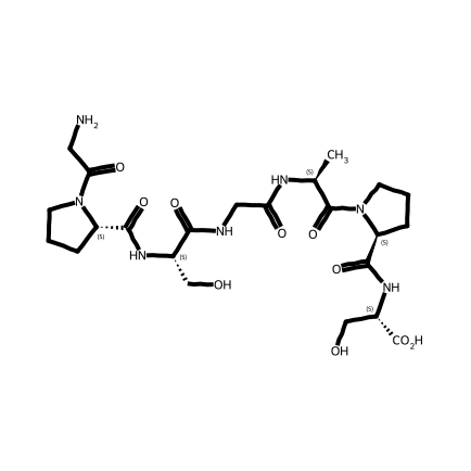 C[C@H](NC(=O)CNC(=O)[C@H](CO)NC(=O)[C@@H]1CCCN1C(=O)CN)C(=O)N1CCC[C@H]1C(=O)N[C@@H](CO)C(=O)O